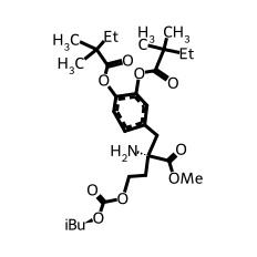 CC[C@H](C)OC(=O)OCC[C@@](N)(Cc1ccc(OC(=O)C(C)(C)CC)c(OC(=O)C(C)(C)CC)c1)C(=O)OC